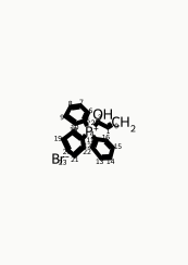 C=CC(O)[P+](c1ccccc1)(c1ccccc1)c1ccccc1.[Br-]